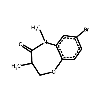 CC1COc2ccc(Br)cc2N(C)C1=O